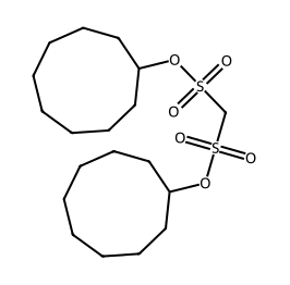 O=S(=O)(CS(=O)(=O)OC1CCCCCCCC1)OC1CCCCCCCC1